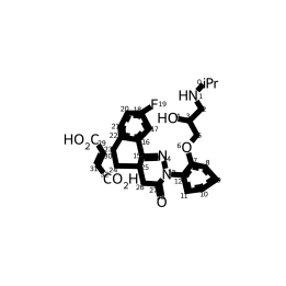 CC(C)NCC(O)COc1ccccc1N1N=C2c3cc(F)ccc3CCC2CC1=O.O=C(O)C=CC(=O)O